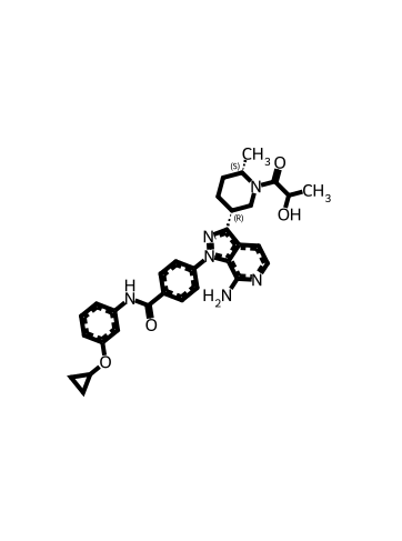 CC(O)C(=O)N1C[C@H](c2nn(-c3ccc(C(=O)Nc4cccc(OC5CC5)c4)cc3)c3c(N)nccc23)CC[C@@H]1C